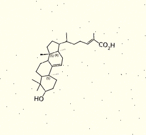 CC(=CCCC(C)C1CC[C@@]2(C)C3CCC4C(C)(C)C(O)CC[C@]4(C)C3=CC[C@]12C)C(=O)O